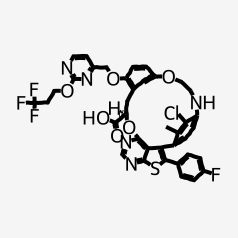 Cc1c2ccc(c1Cl)NCCOc1ccc(OCc3ccnc(OCCC(F)(F)F)n3)c(c1)C[C@H](C(=O)O)Oc1ncnc3sc(-c4ccc(F)cc4)c-2c13